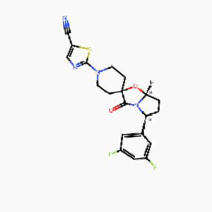 N#Cc1cnc(N2CCC3(CC2)O[C@@H]2CC[C@@H](c4cc(F)cc(F)c4)N2C3=O)s1